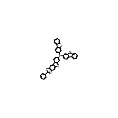 c1ccc(-c2nc3cc4oc5cc(N(c6ccc7c(c6)sc6ccccc67)c6ccc7c(c6)sc6ccccc67)ccc5c4cc3o2)cc1